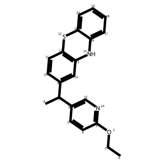 CCOc1ccc(C(C)c2ccc3c(c2)Nc2ccccc2S3)cn1